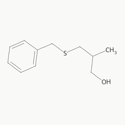 CC(CO)CSCc1ccccc1